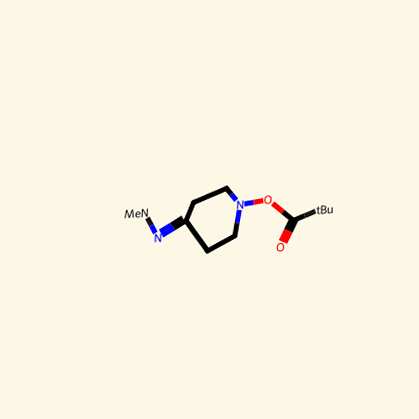 CNN=C1CCN(OC(=O)C(C)(C)C)CC1